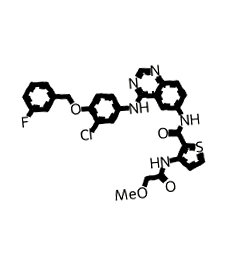 COCC(=O)Nc1ccsc1C(=O)Nc1ccc2ncnc(Nc3ccc(OCc4cccc(F)c4)c(Cl)c3)c2c1